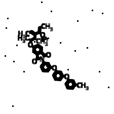 CC=C(OC(C)C)/C(=C/C)[C@H](C)[C@@H](C)Oc1ccc2c(c1)C(=O)N(c1cccc(Oc3cccc(Oc4cccc(C)c4)c3)c1)C2=O